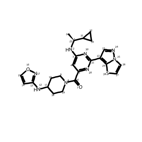 C[C@H](Nc1cc(C(=O)N2CCC(Nc3ccon3)CC2)nc(-c2cnn3ccsc23)n1)C1CC1